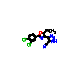 CCc1oc(-c2ccc(Cl)c(Cl)c2)nc1-c1nn[nH]c1C#N